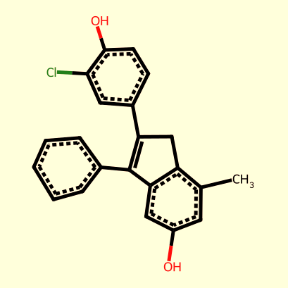 Cc1cc(O)cc2c1CC(c1ccc(O)c(Cl)c1)=C2c1ccccc1